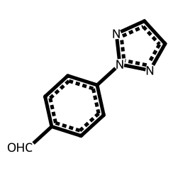 O=Cc1ccc(-n2nccn2)cc1